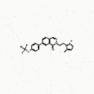 CC1=CCNN1CCn1ncc2ccc(-c3ccc(OC(F)(F)F)cc3)cc2c1=O